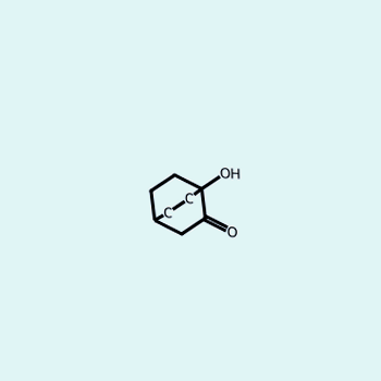 O=C1CC2CCC1(O)CC2